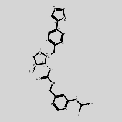 O=C(NCc1cccc(OC(F)F)c1)O[C@@H]1[C@@H](O)CN[C@@H]1Cc1ccc(-c2cnco2)cc1